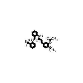 COc1ccc(/C=C/C(=O)Nc2ccccc2COc2ccccc2C(F)(F)F)cc1OC(C)=O